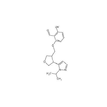 CC(C)n1nccc1C1COCC1COc1cccc(O)c1C=O